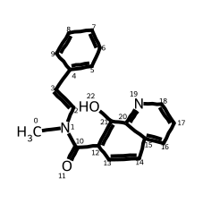 CN(C=Cc1ccccc1)C(=O)c1ccc2cccnc2c1O